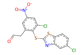 O=CCc1cc([N+](=O)[O-])cc(Cl)c1Sc1nc2cc(Cl)ccc2s1